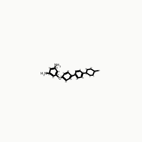 CC1CCC(c2ccc(-c3ccc(Oc4cc(N)cc(N)c4)cc3)cc2)CC1